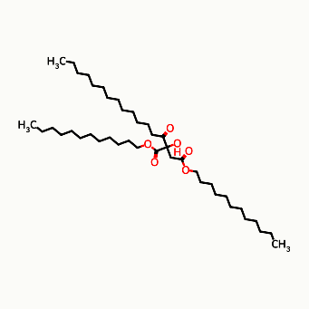 CCCCCCCCCCCCCC(=O)C(O)(CC(=O)OCCCCCCCCCCCC)C(=O)OCCCCCCCCCCCC